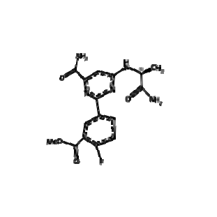 COC(=O)c1cc(-c2nc(N[C@@H](C)C(N)=O)cc(C(N)=O)n2)ccc1F